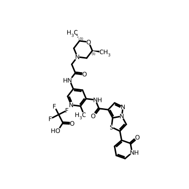 Cc1ncc(NC(=O)CN2C[C@H](C)O[C@@H](C)C2)cc1NC(=O)c1cnn2cc(-c3ccc[nH]c3=O)sc12.O=C(O)C(F)(F)F